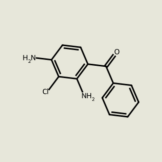 Nc1ccc(C(=O)c2ccccc2)c(N)c1Cl